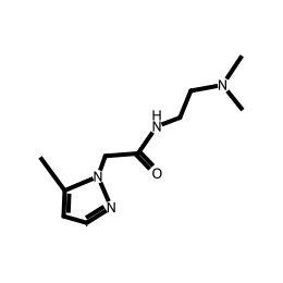 Cc1c[c]nn1CC(=O)NCCN(C)C